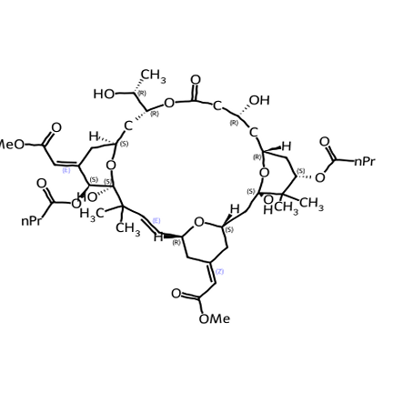 CCCC(=O)O[C@H]1C[C@H]2C[C@@H](O)CC(=O)O[C@@H]([C@@H](C)O)C[C@@H]3C/C(=C\C(=O)OC)[C@H](OC(=O)CCC)[C@@](O)(O3)C(C)(C)/C=C/[C@H]3C/C(=C\C(=O)OC)C[C@@H](C[C@](O)(O2)C1(C)C)O3